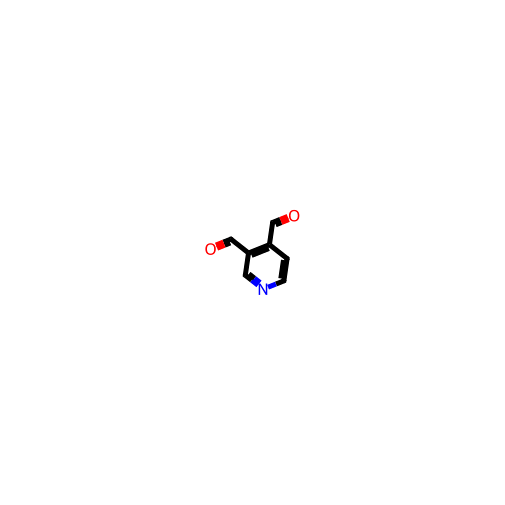 O=Cc1ccncc1C=O